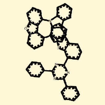 C1=CC2c3ccccc3N(c3cccc4oc5cccc(-c6cccc7c6sc6c(-c8nc(-c9ccccc9)nc(-c9ccccc9)n8)cccc67)c5c34)C2C=C1